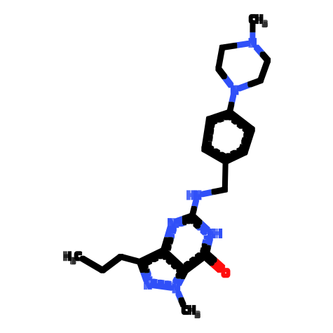 CCCc1nn(C)c2c(=O)[nH]c(NCc3ccc(N4CCN(C)CC4)cc3)nc12